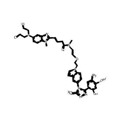 CC(C)c1cc(-c2nnc(O)n2-c2ccc3c(ccn3CCOCCN(C)C(=O)CCCc3nc4cc(N(CCCl)CCCl)ccc4n3C)c2)c(O)cc1O